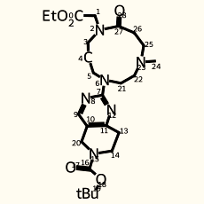 CCOC(=O)CN1CCCN(c2ncc3c(n2)CCN(C(=O)OC(C)(C)C)C3)CCN(C)CCC1=O